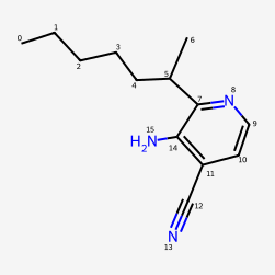 CCCCCC(C)c1nccc(C#N)c1N